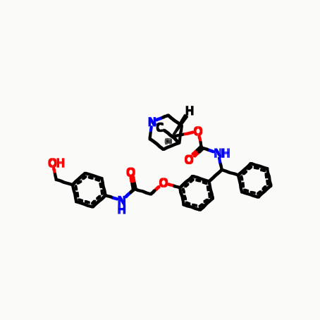 O=C(COc1cccc(C(NC(=O)O[C@H]2CN3CCC2CC3)c2ccccc2)c1)Nc1ccc(CO)cc1